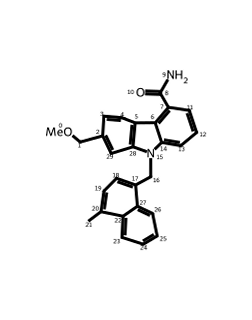 COCc1c[c]c2c3c(C(N)=O)cccc3n(Cc3ccc(C)c4ccccc34)c2c1